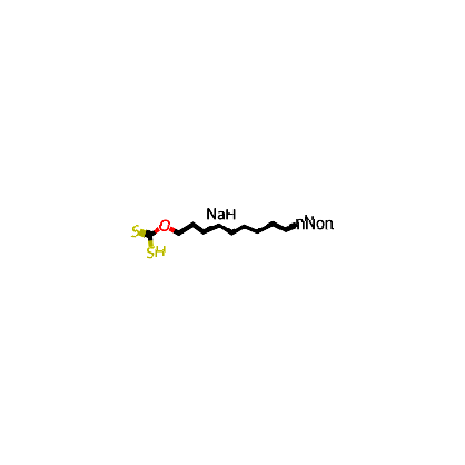 CCCCCCCCCCCCCCCCCCOC(=S)S.[NaH]